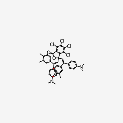 Cc1ccc(/C(=C\C2(/C=C(/c3ccc(N(C)C)cc3)c3ccc(C)c(C)c3)OC(=O)c3c(Cl)c(Cl)c(Cl)c(Cl)c32)c2ccc(N(C)C)cc2)cc1C